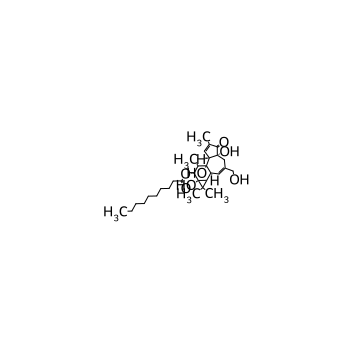 CCCCCCCCCC(=O)O[C@@H]1[C@@H](C)[C@@]2(O)[C@@H](C=C(CO)C[C@]3(O)C(=O)C(C)=C[C@@H]23)C2C(C)(C)[C@@]21O